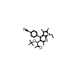 CCn1c(C)c(C)c2c(-c3ccc(C#N)cc3)c(C(OC(C)(C)C)C(C)=O)c(C)nc21